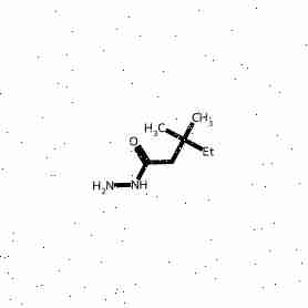 CCC(C)(C)CC(=O)NN